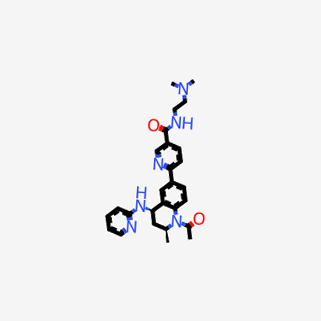 CC(=O)N1c2ccc(-c3ccc(C(=O)NCCN(C)C)cn3)cc2[C@H](Nc2ccccn2)C[C@@H]1C